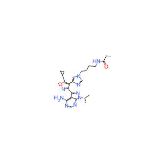 CCC(=O)NCCCCn1cnc(-c2c(-c3nn(C(C)C)c4ncnc(N)c34)noc2C2CC2)c1